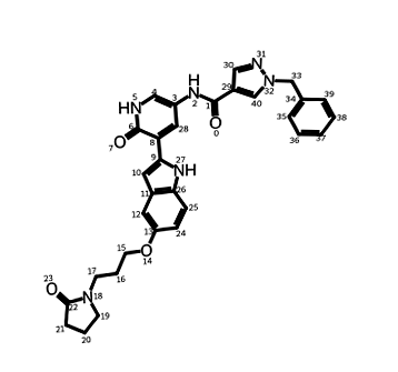 O=C(Nc1c[nH]c(=O)c(-c2cc3cc(OCCCN4CCCC4=O)ccc3[nH]2)c1)c1cnn(Cc2ccccc2)c1